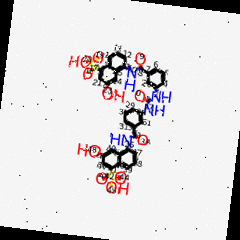 O=C(Nc1cccc(C(=O)Nc2cccc3c(S(=O)(=O)O)cc(O)cc23)c1)Nc1cccc(C(=O)Nc2cccc3c(S(=O)(=O)O)cc(O)cc23)c1